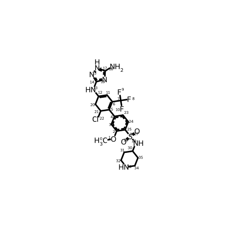 COc1cc(C2=C(C(F)(F)F)C=C(Nc3n[nH]c(N)n3)CC2Cl)ccc1S(=O)(=O)NC1CCNCC1